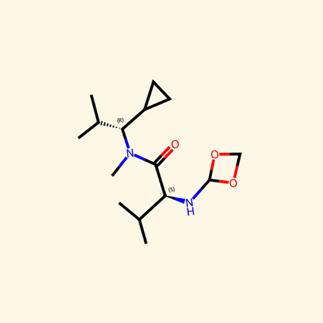 CC(C)[C@H](C1CC1)N(C)C(=O)[C@@H](NC1OCO1)C(C)C